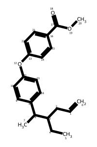 C=CCC(CC)C(C)c1ccc(Oc2ccc(C(=O)OC)cc2)cc1